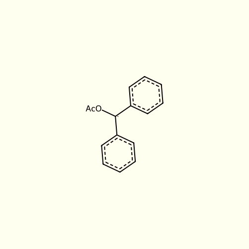 CC(=O)O[C](c1ccccc1)c1ccccc1